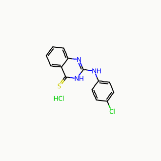 Cl.S=c1[nH]c(Nc2ccc(Cl)cc2)nc2ccccc12